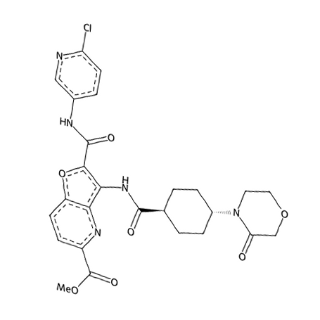 COC(=O)c1ccc2oc(C(=O)Nc3ccc(Cl)nc3)c(NC(=O)[C@H]3CC[C@H](N4CCOCC4=O)CC3)c2n1